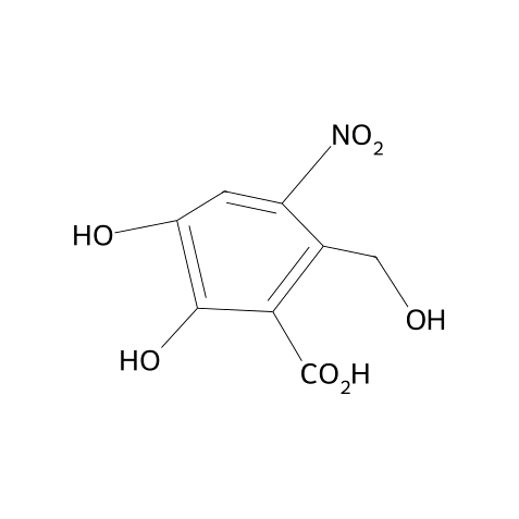 O=C(O)c1c(O)c(O)cc([N+](=O)[O-])c1CO